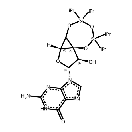 CC(C)[Si]1(C(C)C)OC2[C@H]3O[C@@H](n4cnc5c(=O)[nH]c(N)nc54)[C@H](O)[C@@]23O[Si](C(C)C)(C(C)C)O1